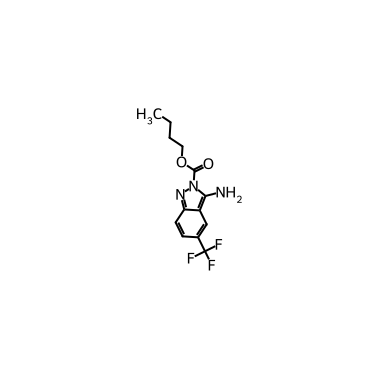 CCCCOC(=O)n1nc2ccc(C(F)(F)F)cc2c1N